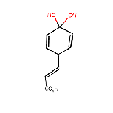 O=C(O)C=CC1C=CC(O)(O)C=C1